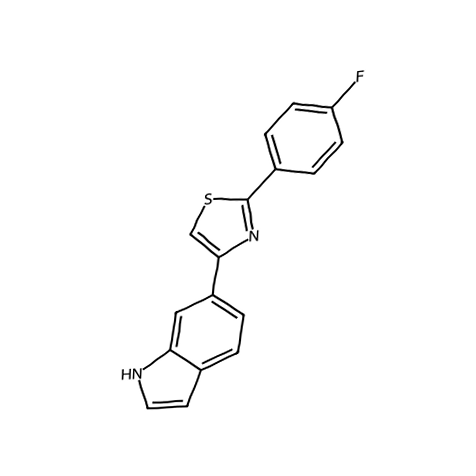 Fc1ccc(-c2nc(-c3ccc4cc[nH]c4c3)cs2)cc1